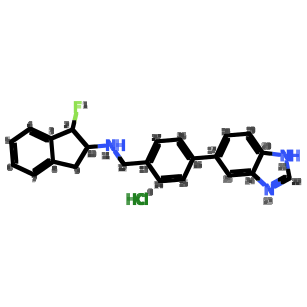 Cl.FC1c2ccccc2CC1NCc1ccc(-c2ccc3[nH]cnc3c2)cc1